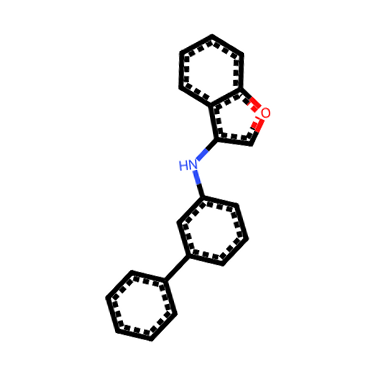 c1ccc(-c2cccc(Nc3coc4ccccc34)c2)cc1